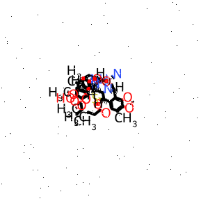 CCCC(=O)Oc1c(C)c2c(c3c1[C@H]1SC[C@]4(NCCc5cc(O)c(OC)cc54)C(=O)OC[C@@H]3N3C1[C@H]1c4c(cc(C)c(OC)c4OC(=O)CCC)C[C@@H]([C@@H]3C#N)N1C)OCO2